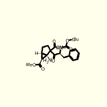 COC(=O)[C@H]1[C@H]2CCC(C(=O)OC)(C(=O)[C@H](Cc3ccccc3)NC(=O)OC(C)(C)C)[C@]21N